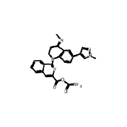 CN=C1CCN(c2nc(C(=O)OC(N)=O)cc3ccccc23)c2ccc(-c3cnn(C)c3)cc21